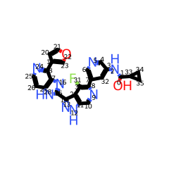 OC(Nc1cncc(-c2ncc3[nH]nc(-c4nc5c(-c6ccoc6)nccc5[nH]4)c3c2F)c1)C1CC1